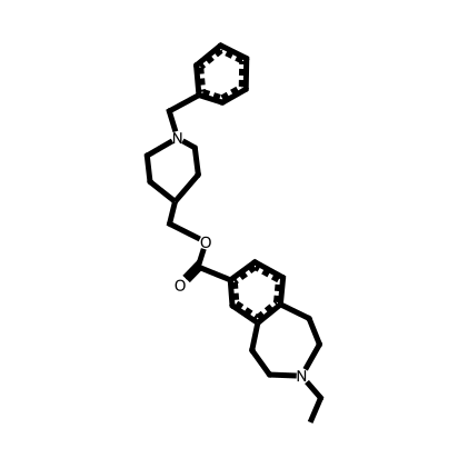 CCN1CCc2ccc(C(=O)OCC3CCN(Cc4ccccc4)CC3)cc2CC1